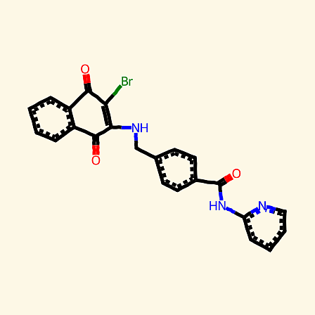 O=C(Nc1ccccn1)c1ccc(CNC2=C(Br)C(=O)c3ccccc3C2=O)cc1